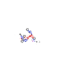 CC(C)CCN1C(=O)CCc2c(OCC(CN3CCN(c4ccccc4)CC3)OC(=O)C(=O)OC(COc3cccc4c3CCC(=O)N4CCC(C)C)CN3CCN(c4ccccc4)CC3)cccc21